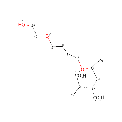 CC(CC(C(=O)O)C(C)C(=O)O)OCCCCOCCO